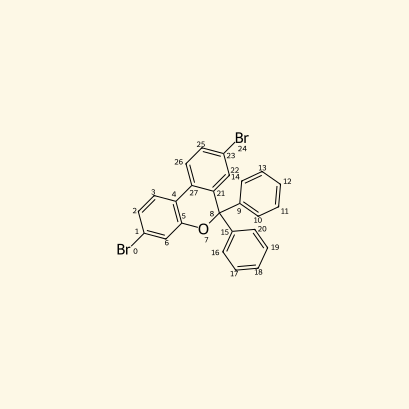 Brc1ccc2c(c1)OC(c1ccccc1)(c1ccccc1)c1cc(Br)ccc1-2